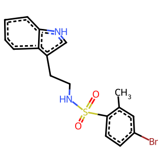 Cc1cc(Br)ccc1S(=O)(=O)NCCc1c[nH]c2ccccc12